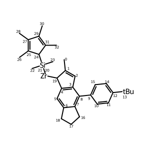 CC1=Cc2c(cc3c(c2-c2ccc(C(C)(C)C)cc2)CCC3)[CH]1[Zr][Si](C)(C)C1C(C)=C(C)C(C)=C1C